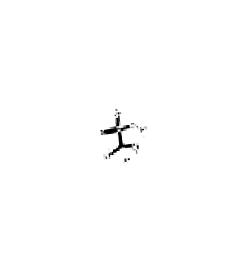 CCC(CC)P([O-])([O-])=S.[K+].[K+]